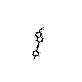 Cc1ccc(C#Cc2ccc3cc(C=O)ccc3c2)cc1